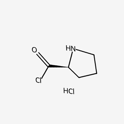 Cl.O=C(Cl)[C@@H]1CCCN1